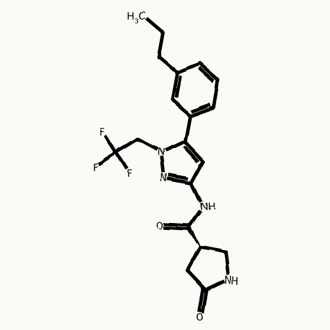 CCCc1cccc(-c2cc(NC(=O)[C@H]3CNC(=O)C3)nn2CC(F)(F)F)c1